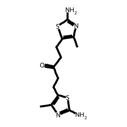 Cc1nc(N)sc1CCC(=O)CCc1sc(N)nc1C